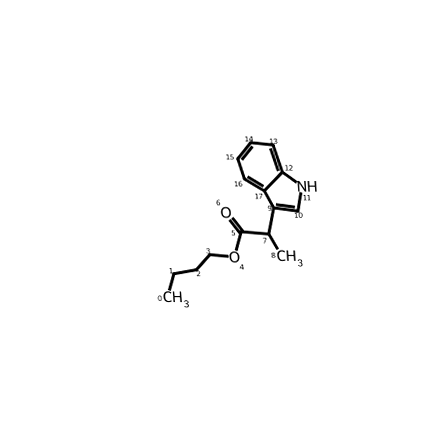 CCCCOC(=O)C(C)c1c[nH]c2ccccc12